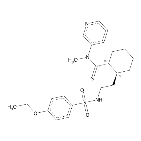 CCOc1ccc(S(=O)(=O)NCC[C@@H]2CCCC[C@H]2C(=S)N(C)c2cccnc2)cc1